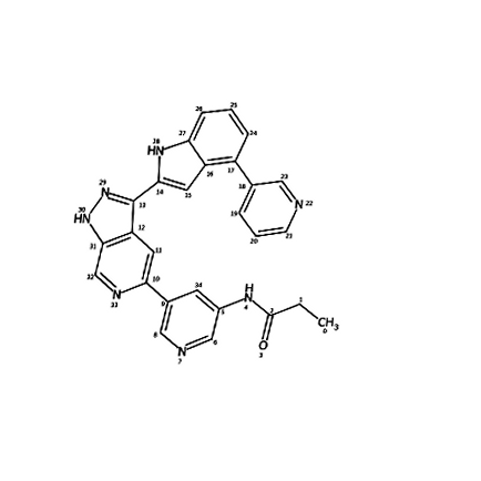 CCC(=O)Nc1cncc(-c2cc3c(-c4cc5c(-c6cccnc6)cccc5[nH]4)n[nH]c3cn2)c1